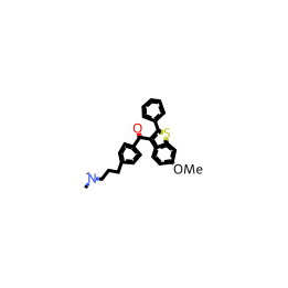 COc1ccc2c(C(=O)c3ccc(CCCN(C)C)cc3)c(-c3ccccc3)sc2c1